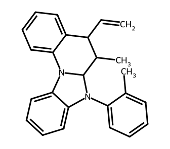 C=CC1c2ccccc2N2c3ccccc3N(c3ccccc3C)C2C1C